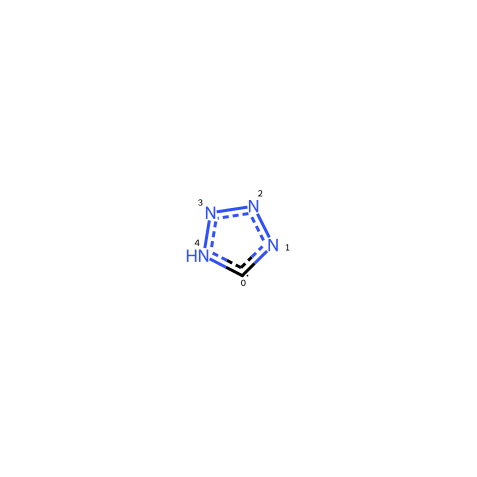 [c]1nnn[nH]1